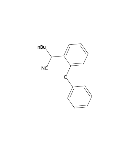 CCCCC(C#N)c1ccccc1Oc1ccccc1